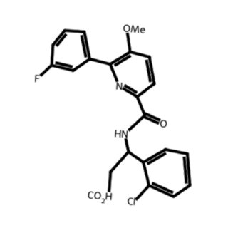 COc1ccc(C(=O)NC(CC(=O)O)c2ccccc2Cl)nc1-c1cccc(F)c1